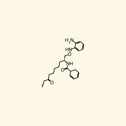 Nc1ccccc1NOC[C@H](CCCCCC(=O)CF)NC(=O)C1C=CC=CC1